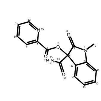 CN1C(=O)C(OC(=O)c2ccccn2)(C(N)=O)c2ccccc21